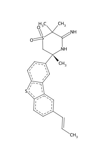 C/C=C/c1ccc2sc3ccc([C@]4(C)CS(=O)(=O)C(C)(C)C(=N)N4)cc3c2c1